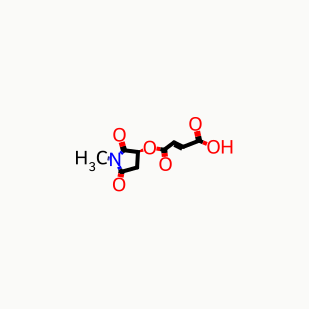 CN1C(=O)C[C@H](OC(=O)C=CC(=O)O)C1=O